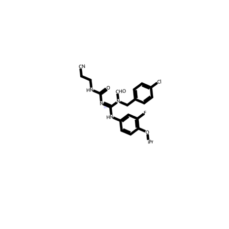 CC(C)Oc1ccc(N/C(=N/C(=O)NCCC#N)N(C=O)Cc2ccc(Cl)cc2)cc1F